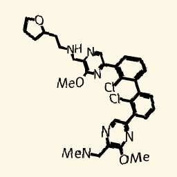 CNCc1ncc(-c2cccc(-c3cccc(-c4cnc(CNCCC5CCCO5)c(OC)n4)c3Cl)c2Cl)nc1OC